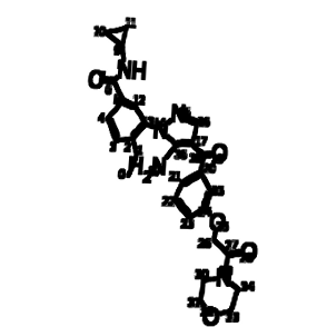 CCc1ccc(C(=O)NC2CC2)cc1-n1ncc(C(=O)c2cccc(OCC(=O)N3CCOCC3)c2)c1N